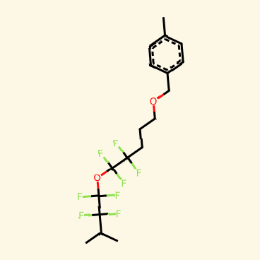 Cc1ccc(COCCCC(F)(F)C(F)(F)OC(F)(F)C(F)(F)C(C)C)cc1